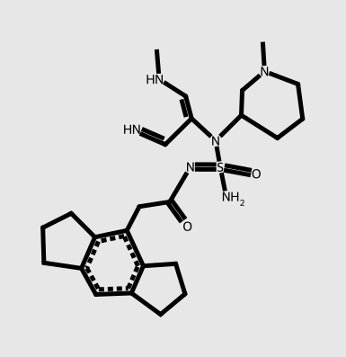 CN/C=C(\C=N)N(C1CCCN(C)C1)S(N)(=O)=NC(=O)Cc1c2c(cc3c1CCC3)CCC2